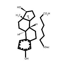 CCCCCCCCCCCCCCCC(=O)O.C[C@]12CC[C@@H]3c4ccc(O)cc4CC[C@H]3[C@@H]1CC[C@@H]2O